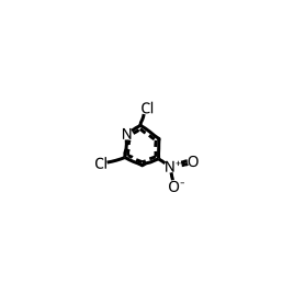 O=[N+]([O-])c1cc(Cl)nc(Cl)c1